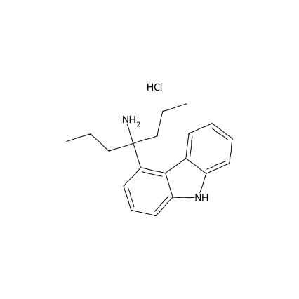 CCCC(N)(CCC)c1cccc2[nH]c3ccccc3c12.Cl